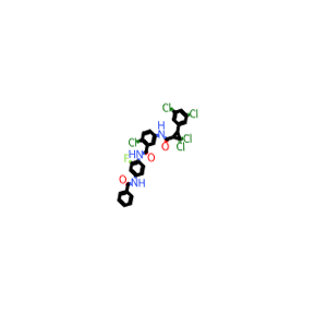 O=C(Nc1ccc(NC(=O)c2cc(NC(=O)C3C(c4cc(Cl)cc(Cl)c4)C3(Cl)Cl)ccc2Cl)c(F)c1)c1ccccc1